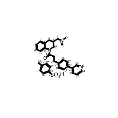 CN(C)CC1Cc2ccccc2N(C(=O)CCc2ccc(-c3cccnc3)cc2)C1.Cc1ccc(S(=O)(=O)O)cc1